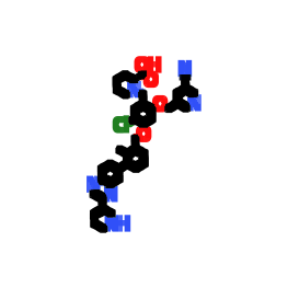 Cc1c(COc2cc(OCc3cncc(C#N)c3)c(CN3CCCC[C@H]3C(=O)O)cc2Cl)cccc1-c1ccc2ncc(C3=CCCNC3)nc2c1